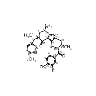 Cc1ccc([C@H](C)N2C[C@@H](C)n3nc4c(c3C2=O)CN(C(=O)c2ccc(Cl)c(Cl)c2)[C@H](C)C4)nn1